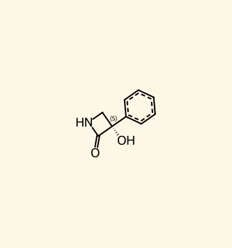 O=C1NC[C@@]1(O)c1ccccc1